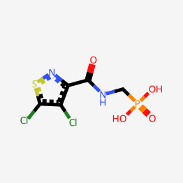 O=C(NCP(=O)(O)O)c1nsc(Cl)c1Cl